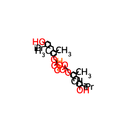 Cc1cc(OCC(=O)O[PH](=O)OC(=O)COc2cc(C)c(Cc3ccc(O)c(C(C)C)c3)c(C)c2)cc(C)c1Cc1ccc(O)c(C(C)C)c1